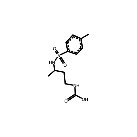 Cc1ccc(S(=O)(=O)NC(C)CCNC(=O)O)cc1